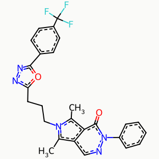 Cc1c2cnn(-c3ccccc3)c(=O)c2c(C)n1CCCc1nnc(-c2ccc(C(F)(F)F)cc2)o1